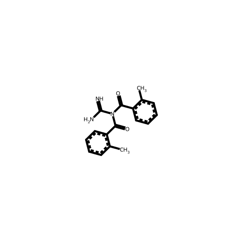 Cc1ccccc1C(=O)N(C(=N)N)C(=O)c1ccccc1C